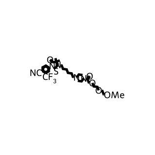 COCCOCCOCC(=O)N1CCN(CCCCCCN2C(=S)N(c3ccc(C#N)c(C(F)(F)F)c3)C(=O)C2(C)C)CC1